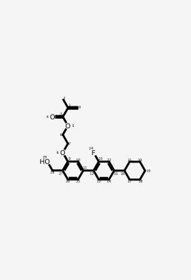 C=C(C)C(=O)OCCOc1cc(-c2ccc(C3CCCCC3)cc2F)ccc1CO